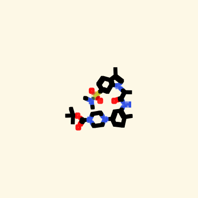 Cc1ccc(N2CCN(C(=O)OC(C)(C)C)CC2)cc1NC(=O)C(C)n1cc(C)c2ccc(S(=O)(=O)N(C)C)cc21